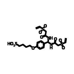 C=CS(=O)(=O)CC(=O)NC(NC(=O)CS(=O)(=O)C=C)c1ccc(OCCCCS(=O)(=O)O)cc1